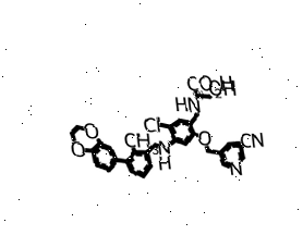 Cc1c(CNc2cc(OCc3cncc(C#N)c3)c(CN[C@H](CO)C(=O)O)cc2Cl)cccc1-c1ccc2c(c1)OCCO2